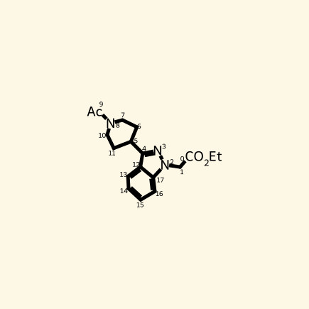 CCOC(=O)Cn1nc(C2CCN(C(C)=O)CC2)c2ccccc21